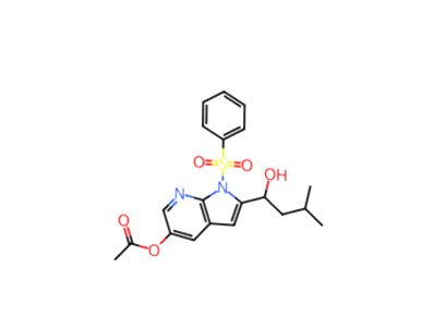 CC(=O)Oc1cnc2c(c1)cc(C(O)CC(C)C)n2S(=O)(=O)c1ccccc1